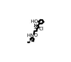 CCn1ccc(NC(=O)CCc2snc(-c3ccccc3O)c2Cl)c1